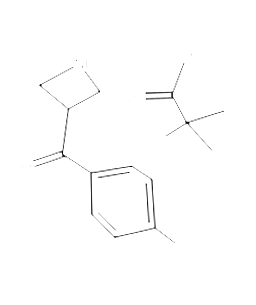 O=C(O)C(F)(F)F.O=C(c1ccc(Br)cc1)C1CNC1